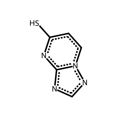 Sc1ccn2ncnc2n1